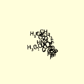 CCOC(=O)[C@@]1(NC(=O)OC(C)(C)C)C[C@H](OS(=O)(=O)C(F)(F)F)[C@@H](F)C1